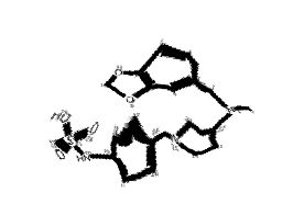 CN(Cc1ccc2c(c1)OCO2)C1CCN(c2ccc(NS(=O)(=O)O)cc2)C1